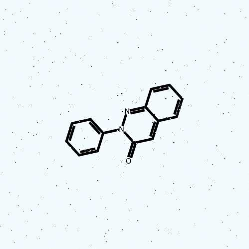 O=c1cc2ccccc2nn1-c1ccccc1